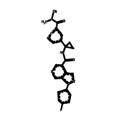 CN(C#N)C(=O)c1cccc(C2(NC(=O)c3cncc4c3cnn4-c3ccc(F)cc3)CC2)c1